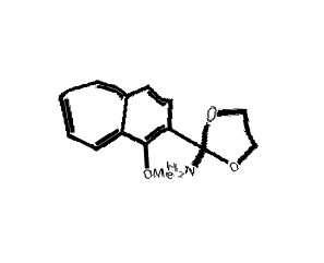 COc1c(C2(N)OCCO2)ccc2ccccc12